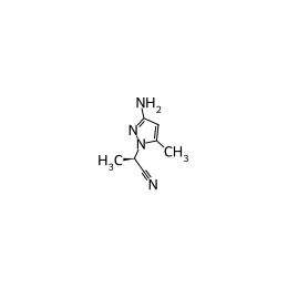 Cc1cc(N)nn1[C@H](C)C#N